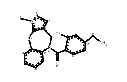 Cn1ncc2c1Nc1ccccc1N(C(=O)c1ccc(CN)cc1F)C2